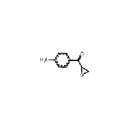 Cc1ccc(C(=O)C2CO2)cc1